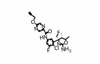 C#CCOc1cnc(C(=O)Nc2cc(F)c(Cl)c([C@]3(CF)N=C(N)OC(C)[C@H]3C)c2)cn1